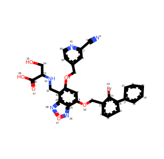 N#Cc1cc(COc2cc(OCc3cccc(-c4ccccc4)c3Br)c3nonc3c2CNC(CO)C(=O)O)ccn1